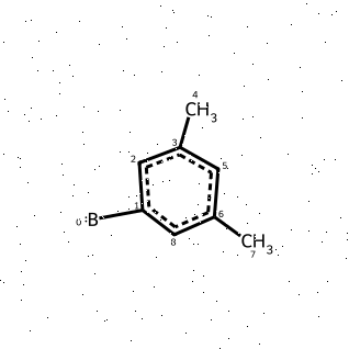 [B]c1cc(C)cc(C)c1